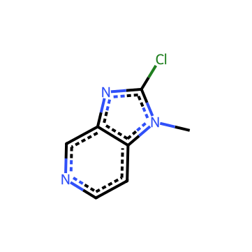 Cn1c(Cl)nc2cnccc21